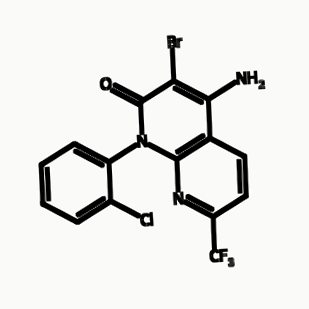 Nc1c(Br)c(=O)n(-c2ccccc2Cl)c2nc(C(F)(F)F)ccc12